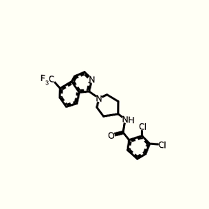 O=C(NC1CCN(c2nccc3c(C(F)(F)F)cccc23)CC1)c1cccc(Cl)c1Cl